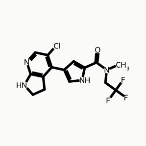 CN(CC(F)(F)F)C(=O)c1cc(-c2c(Cl)cnc3c2CCN3)c[nH]1